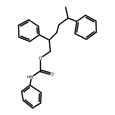 CC(CCC(COC(=O)Nc1ccccc1)c1ccccc1)c1ccccc1